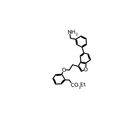 CCOC(=O)Cc1ccccc1OCCc1coc2ccc(-c3cccc(CN)c3)cc12